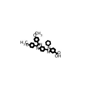 COc1ccc(-c2nc3ccc(-c4nc5cc(C(=O)O)ccc5n4C4CCCCC4)cc3nc2-c2ccc(OC)cc2)cc1